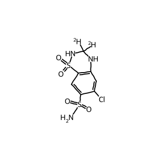 [2H]C1([2H])Nc2cc(Cl)c(S(N)(=O)=O)cc2S(=O)(=O)N1